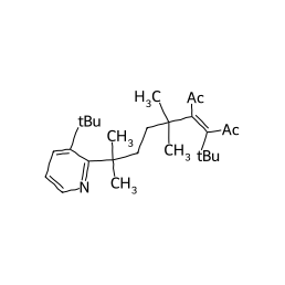 CC(=O)/C(=C(\C(C)=O)C(C)(C)CCC(C)(C)c1ncccc1C(C)(C)C)C(C)(C)C